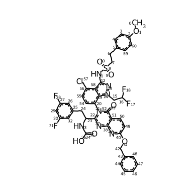 COc1ccc(CCS(=O)(=O)Nc2nn(CC(F)F)c3c(-n4c(C(Cc5cc(F)cc(F)c5)NC(=O)O)nc5nc(OCc6ccccc6)ccc5c4=O)ccc(Cl)c23)cc1